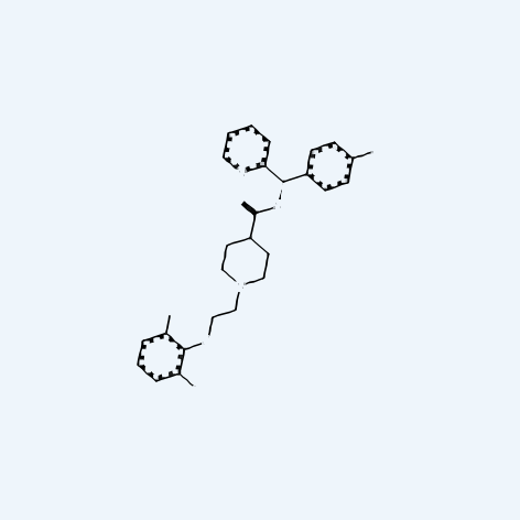 O=C(N[C@H](c1ccc(Cl)cc1)c1ccccn1)C1CCN(CCOc2c(F)cccc2F)CC1